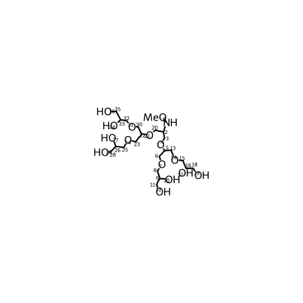 CONC(COC(COCC(O)CO)COCC(O)CO)COC(COCC(O)CO)COCC(O)CO